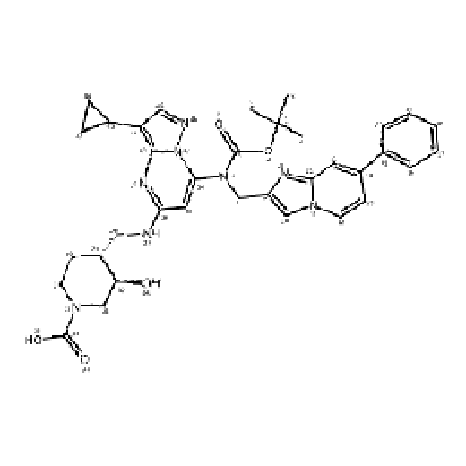 CC(C)(C)OC(=O)N(Cc1cn2ccc(-c3ccccc3)cc2n1)c1cc(NC[C@H]2CCN(C(=O)O)C[C@@H]2O)nc2c(C3CC3)cnn12